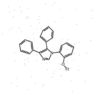 CCOc1ccccc1-n1cnc(-c2ccccc2)c1-c1ccccc1